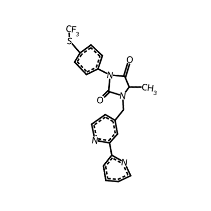 CC1C(=O)N(c2ccc(SC(F)(F)F)cc2)C(=O)N1Cc1ccnc(-c2ccccn2)c1